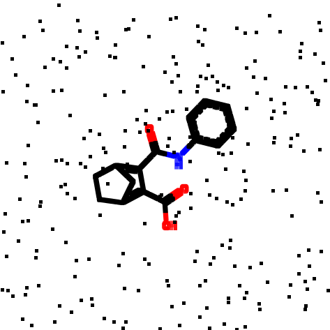 O=C(O)C1=C2CCC(=C1C(=O)Nc1ccccc1)C2